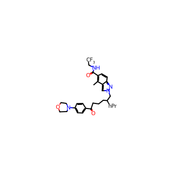 CCCC(CCCC(=O)c1ccc(N2CCOCC2)cc1)Cn1cc2c(C)c(C(=O)NCC(F)(F)F)ccc2n1